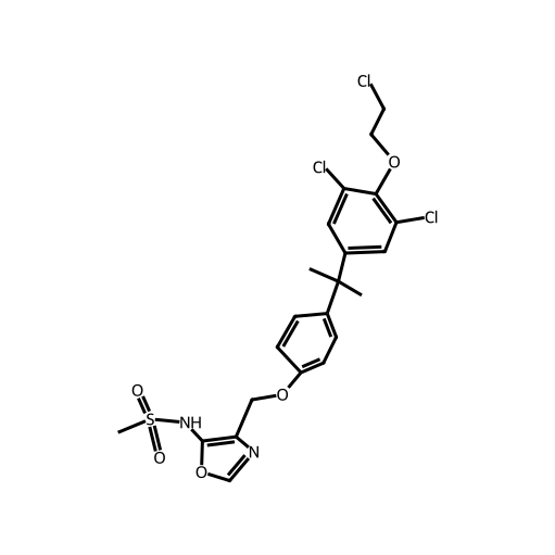 CC(C)(c1ccc(OCc2ncoc2NS(C)(=O)=O)cc1)c1cc(Cl)c(OCCCl)c(Cl)c1